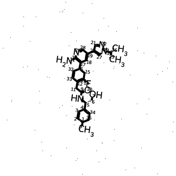 CC1C=CC([C@@H](CO)NC(=O)CC2=C(F)CC(c3cc(-c4cnn(C(C)C)c4)cnc3N)C=C2)=CC1